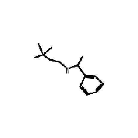 CC(NCCC(C)(C)C)c1ccccc1